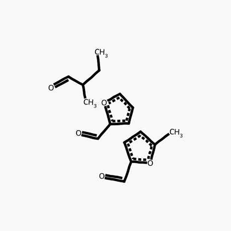 CCC(C)C=O.Cc1ccc(C=O)o1.O=Cc1ccco1